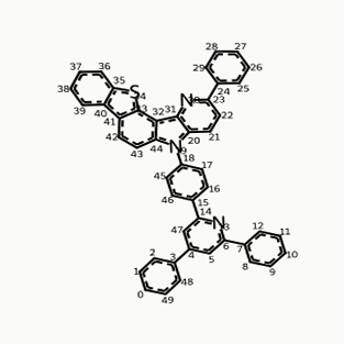 c1ccc(-c2cc(-c3ccccc3)nc(-c3ccc(-n4c5ccc(-c6ccccc6)nc5c5c6sc7ccccc7c6ccc54)cc3)c2)cc1